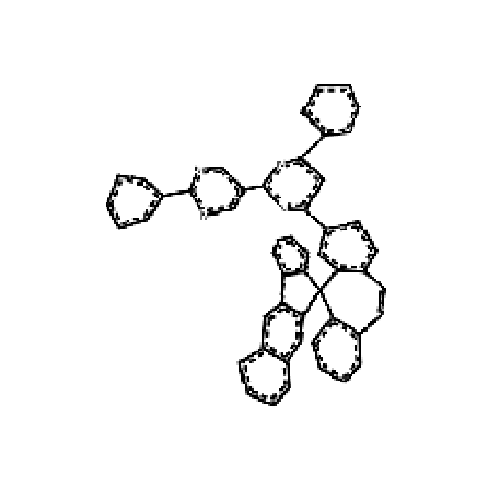 C1=Cc2ccc(-c3cc(-c4ccccc4)nc(-c4cnc(-c5ccccc5)nc4)n3)cc2C2(c3ccccc31)c1ccccc1-c1cc3ccccc3cc12